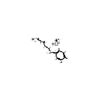 Cl.Cl.NNCCOc1ccccc1